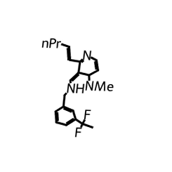 CCCC=CC1=NC=CC(NC)/C1=C\NCc1cccc(C(C)(F)F)c1